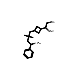 CNC(CC(C)(C)CC1CC(C(CC(C)(C)C)NC)C1)c1ccccc1